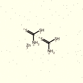 NC(=S)S.NC(=S)S.[Zn]